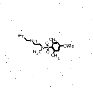 COc1cc(C)c(S(=O)(=O)N(C)CCNCC(C)C)c(C)c1